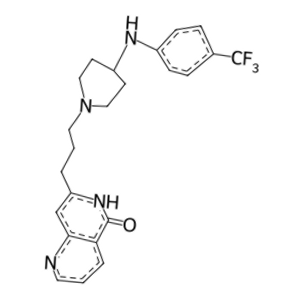 O=c1[nH]c(CCCN2CCC(Nc3ccc(C(F)(F)F)cc3)CC2)cc2ncccc12